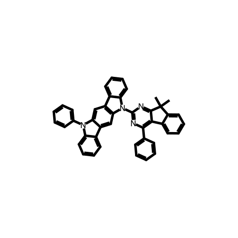 CC1(C)c2ccccc2-c2c(-c3ccccc3)nc(-n3c4ccccc4c4cc5c(cc43)c3ccccc3n5-c3ccccc3)nc21